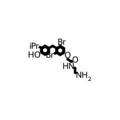 CC(C)c1cc(Cc2c(Br)cc(OCC(=O)NCCN)cc2Br)ccc1O